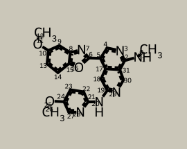 CNc1ncc(-c2nc3cc(OC)ccc3o2)c2cc(Nc3ccc(OC)cn3)ncc12